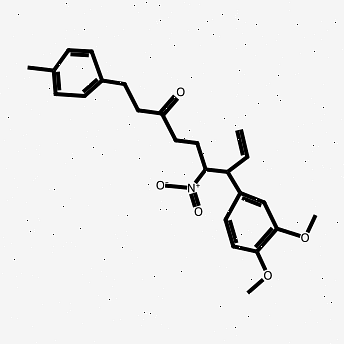 C=CC(c1ccc(OC)c(OC)c1)C(CCC(=O)CCc1ccc(C)cc1)[N+](=O)[O-]